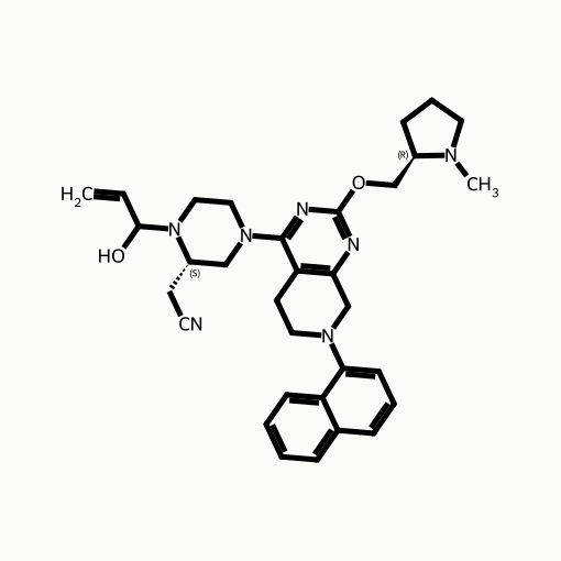 C=CC(O)N1CCN(c2nc(OC[C@H]3CCCN3C)nc3c2CCN(c2cccc4ccccc24)C3)C[C@@H]1CC#N